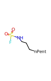 CCCCCCCCNS(=O)(=O)F